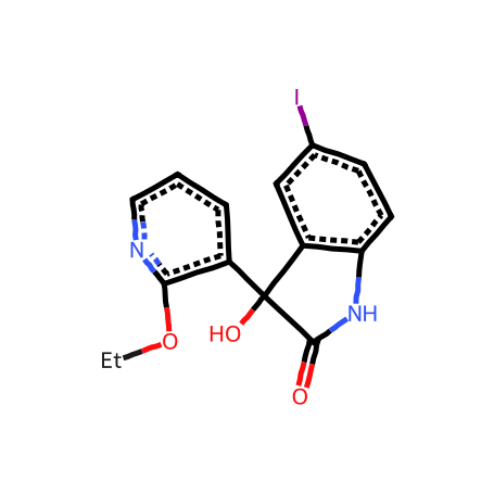 CCOc1ncccc1C1(O)C(=O)Nc2ccc(I)cc21